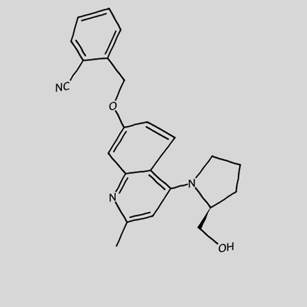 Cc1cc(N2CCC[C@H]2CO)c2ccc(OCc3ccccc3C#N)cc2n1